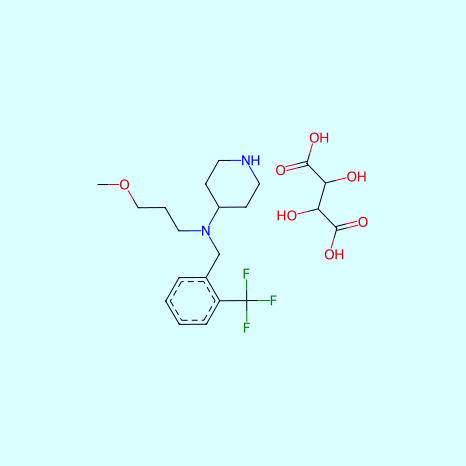 COCCCN(Cc1ccccc1C(F)(F)F)C1CCNCC1.O=C(O)C(O)C(O)C(=O)O